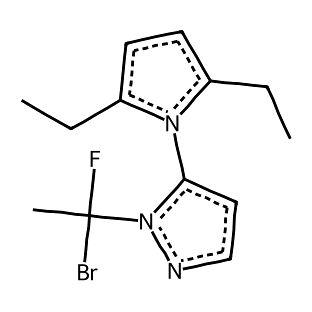 CCc1ccc(CC)n1-c1ccnn1C(C)(F)Br